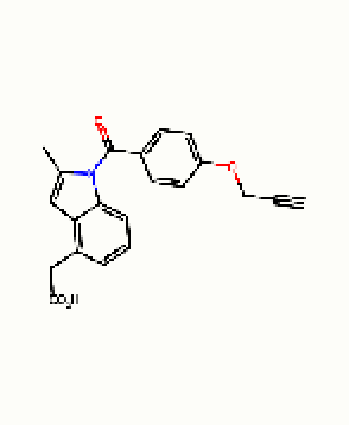 C#CCOc1ccc(C(=O)n2c(C)cc3c(CC(=O)O)cccc32)cc1